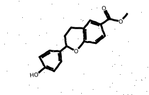 COC(=O)c1ccc2c(c1)CCC(c1ccc(O)cc1)O2